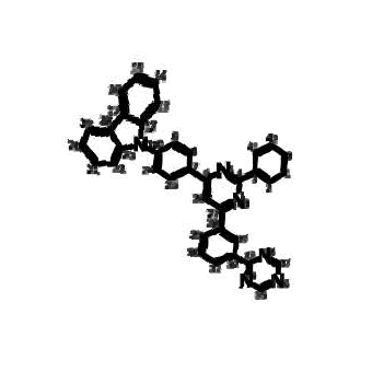 c1ccc(-c2nc(-c3ccc(-n4c5ccccc5c5ccccc54)cc3)cc(-c3cccc(-c4ncncn4)c3)n2)cc1